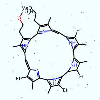 CCC1=C(C)C2=N/C1=C\c1[nH]c(c(CCOC(=O)O)c1C)C1=N/C(=C\c3[nH]c(c(C)c3CC)C3=C(C)C(CC)C(N3)c3[nH]c2c(C)c3CC)C(C)=C1CCOC